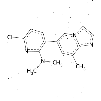 Cc1cc(-c2ccc(Cl)nc2N(C)C)cn2ccnc12